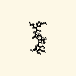 CCON=C(C(=O)NC1C(=O)N2CC(CSc3nc(N)c(N)c(N)[n+]3CC)(C(=O)[O-])CS[C@H]12)c1nsc(N)n1